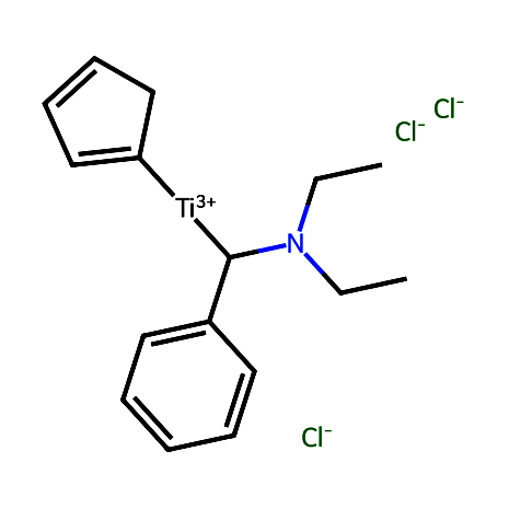 CCN(CC)[CH]([Ti+3][C]1=CC=CC1)c1ccccc1.[Cl-].[Cl-].[Cl-]